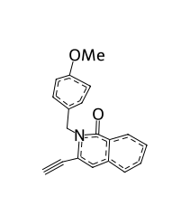 C#Cc1cc2ccccc2c(=O)n1Cc1ccc(OC)cc1